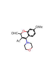 COc1ccc2c(c1)OC(C=O)C(C(C)=O)=C2N1CCOCC1